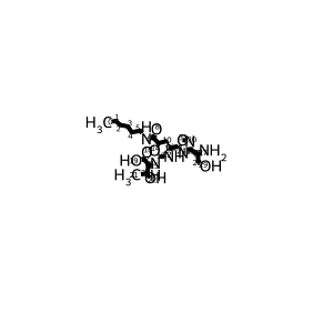 CCCCCCNC(=O)CC[C@H](NC(=O)N[C@H](C(=O)O)C(C)O)c1nc([C@@H](N)CO)no1